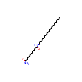 CCCCCCCCCCCCCCCCCCNC(=O)CCCCCCCCC(N)=O